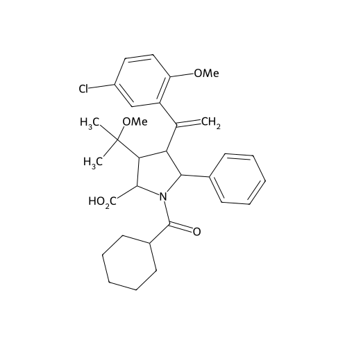 C=C(c1cc(Cl)ccc1OC)C1C(c2ccccc2)N(C(=O)C2CCCCC2)C(C(=O)O)C1C(C)(C)OC